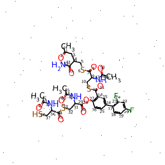 CC(=O)CC(CSC(=O)C(CSC(=O)c1cc(-c2ccc(F)cc2F)ccc1OC(=O)C(CSC(=O)C(CS)NC(C)=O)NC(C)=O)NC(C)=O)C(N)=O